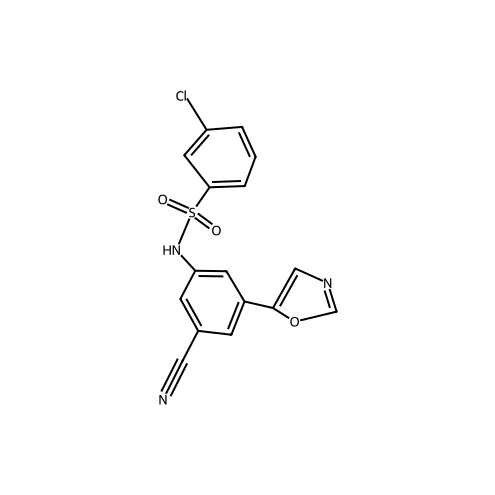 N#Cc1cc(NS(=O)(=O)c2cccc(Cl)c2)cc(-c2cnco2)c1